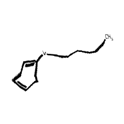 CCC[CH2][V][C]1=CC=CC1